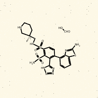 Nc1nc2c(-c3ccc(S(=O)(=O)NC[C@]4(F)CCCNC4)c(S(N)(=O)=O)c3-c3nnn[nH]3)cccc2s1.O=CO